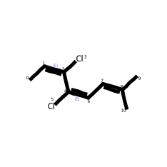 C/C=C(Cl)\C(Cl)=C/C=C(C)C